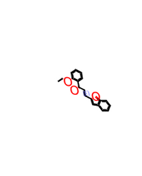 CCOc1ccccc1C(=O)/C=C/c1cc2ccccc2o1